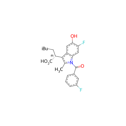 CCC(C)C[C@@H](C(=O)O)c1c(C)n(C(=O)c2cccc(F)c2)c2cc(F)c(O)cc12